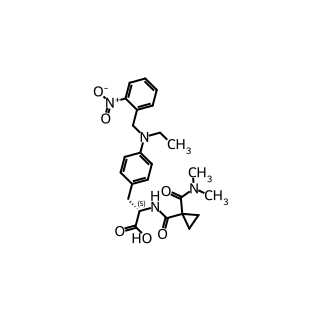 CCN(Cc1ccccc1[N+](=O)[O-])c1ccc(C[C@H](NC(=O)C2(C(=O)N(C)C)CC2)C(=O)O)cc1